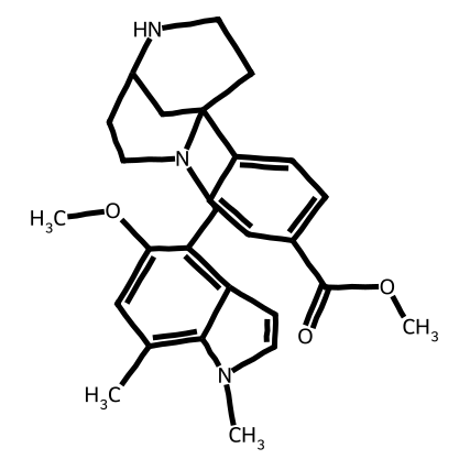 COC(=O)c1ccc(C23CCNC(CCN2Cc2c(OC)cc(C)c4c2ccn4C)C3)cc1